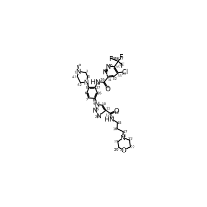 CN1CCN(c2ccc(-n3cc(C(=O)NCCCN4CCOCC4)nn3)cc2NC(=O)c2cc(Cl)c(C(F)(F)F)nn2)CC1